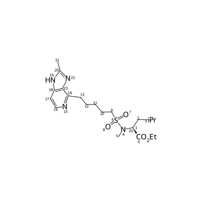 CCOC(=O)[C@H](CC(C)C)N(C)S(=O)(=O)CCCCCc1nccc2[nH]c(C)nc12